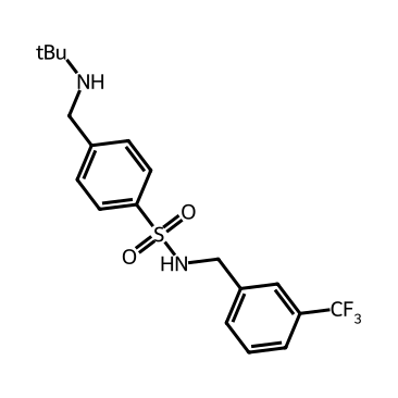 CC(C)(C)NCc1ccc(S(=O)(=O)NCc2cccc(C(F)(F)F)c2)cc1